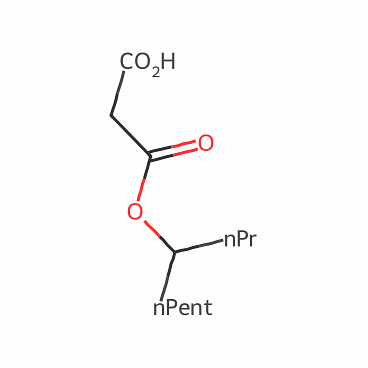 CCCCCC(CCC)OC(=O)CC(=O)O